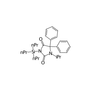 CCC[Si](CCC)(CCC)N1C(=O)N(C(C)C)C(c2ccccc2)(c2ccccc2)C1=O